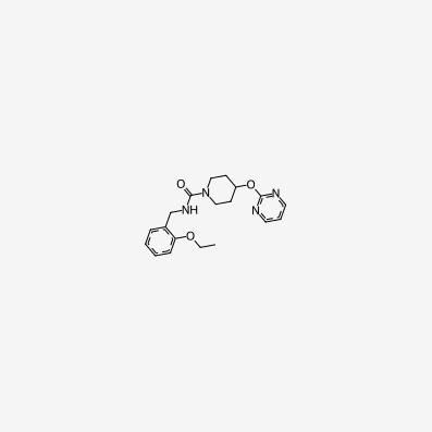 CCOc1ccccc1CNC(=O)N1CCC(Oc2ncccn2)CC1